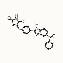 O=C1NC(=O)/C(=C\c2ccc(-c3nc4cc(C(=O)c5ccccc5)ccc4[nH]3)cc2)S1